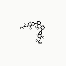 O=C(O)Cn1cnn2cc(-c3cccc(-c4cccc(-c5cc6c(=O)n(CC(=O)O)cnn6c5)c4Cl)c3Cl)cc2c1=O